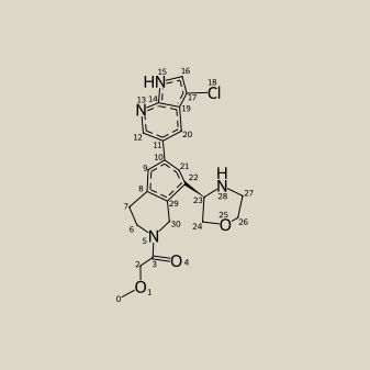 COCC(=O)N1CCc2cc(-c3cnc4[nH]cc(Cl)c4c3)cc([C@@H]3COCCN3)c2C1